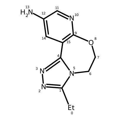 CCc1nnc2n1CCOc1ncc(N)cc1-2